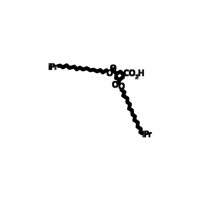 CC(C)CCCCCCCCCCCCCCCOC(=O)C1CC(C(=O)O)CC(C(=O)OCCCCCCCCCCCCCCCC(C)C)C1